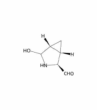 O=C[C@H]1NC(O)[C@@H]2C[C@H]12